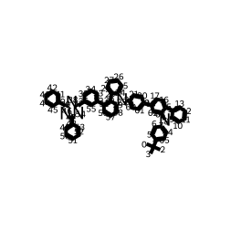 CC(C)(C)c1ccc(-n2c3ccccc3c3ccc(-c4ccc(-n5c6ccccc6c6c(-c7cccc(-c8nc(-c9ccccc9)nc(-c9ccccc9)n8)c7)cccc65)cc4)cc32)cc1